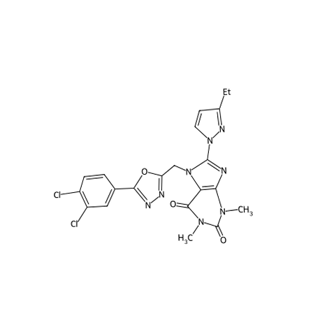 CCc1ccn(-c2nc3c(c(=O)n(C)c(=O)n3C)n2Cc2nnc(-c3ccc(Cl)c(Cl)c3)o2)n1